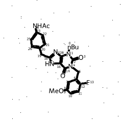 CCCCn1c(=O)n(Cc2cc(OC)ccc2F)c(=O)c2[nH]c(Cc3ccc(NC(C)=O)cc3)nc21